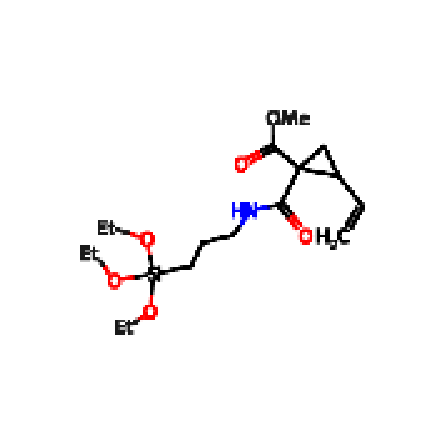 C=CC1CC1(C(=O)NCCC[Si](OCC)(OCC)OCC)C(=O)OC